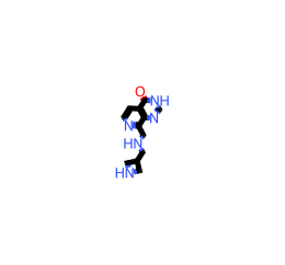 O=c1[nH]cnc2c(CNCC3CNC3)nccc12